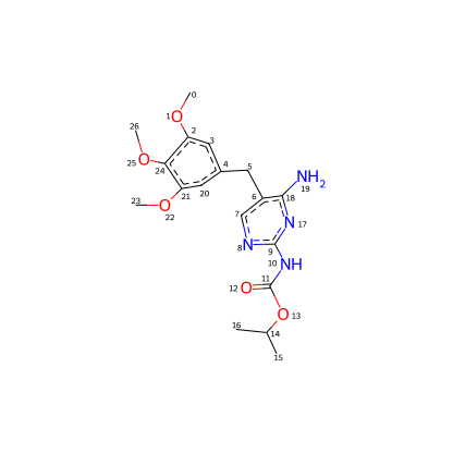 COc1cc(Cc2cnc(NC(=O)OC(C)C)nc2N)cc(OC)c1OC